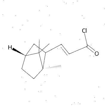 CC1(C)[C@@H]2CC[C@]1(C)C(C=CC(=O)Cl)C2